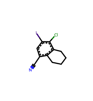 N#Cc1cc(I)c(Cl)c2c1CCCC2